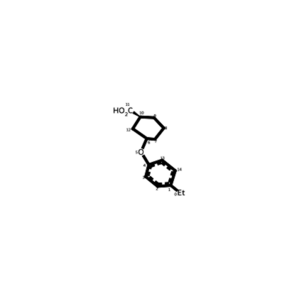 CCc1ccc(OC2CCC[C@H](C(=O)O)C2)cc1